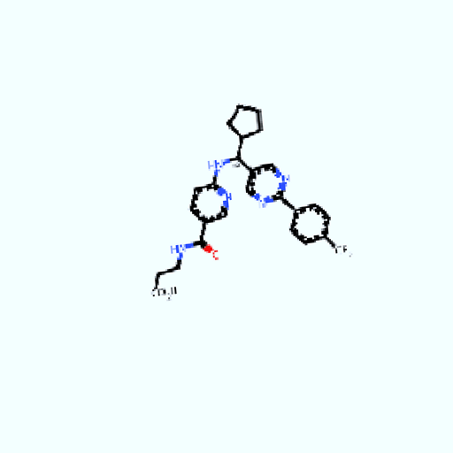 O=C(O)CCNC(=O)c1ccc(N[C@H](c2cnc(-c3ccc(C(F)(F)F)cc3)nc2)C2CCCC2)nc1